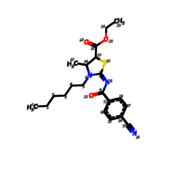 CCCCCCN1C(=NC(=O)c2ccc(C#N)cc2)SC(C(=O)OCC)C1C